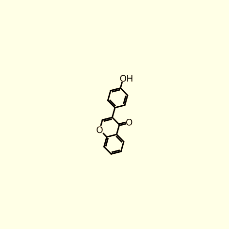 O=c1c(-c2ccc(O)cc2)coc2ccccc12